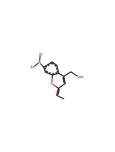 C/C=C1\C=C(COC(C)=O)c2ccc(N(CC)CC)cc2O1